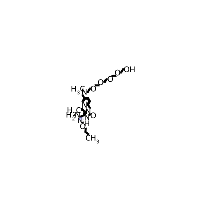 C=Cc1c(/C(N)=N\COCCCC)[nH]c(=O)n1Cc1ccc(CN(C)CCOCCOCCOCCOCCO)cn1